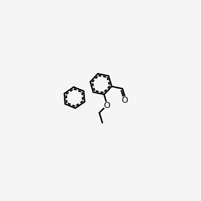 CCOc1ccccc1C=O.c1ccccc1